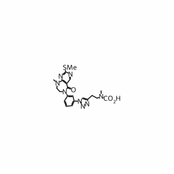 CSc1ncc2c(n1)N(C)CCN(c1cccc(-n3cc(CCN(C)C(=O)O)nn3)c1)C2=O